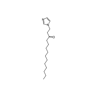 CCCCCCCCCCCC(=O)CCn1ccnc1